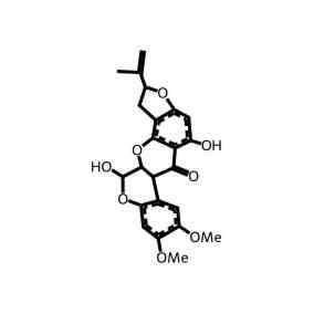 C=C(C)C1Cc2c(cc(O)c3c2OC2C(O)Oc4cc(OC)c(OC)cc4C2C3=O)O1